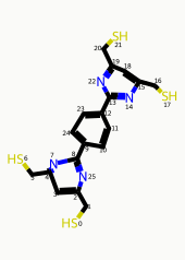 SCc1cc(CS)nc(-c2ccc(-c3nc(CS)cc(CS)n3)cc2)n1